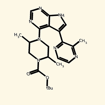 Cc1nccnc1-c1c[nH]c2ncnc(N3CC(C)N(C(=O)OC(C)(C)C)CC3C)c12